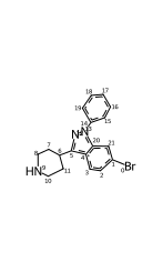 Brc1ccc2c(C3CCNCC3)nn(-c3ccccc3)c2c1